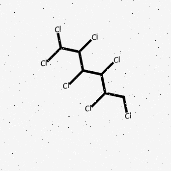 ClCC(Cl)C(Cl)C(Cl)C(Cl)C(Cl)Cl